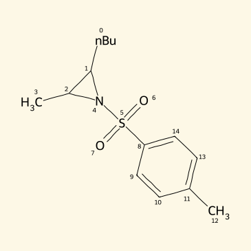 CCCCC1C(C)N1S(=O)(=O)c1ccc(C)cc1